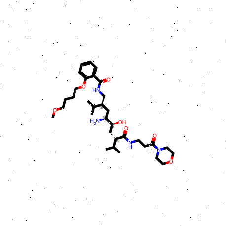 COCCCCOc1ccccc1C(=O)NC[C@@H](C[C@H](N)[C@@H](O)C[C@H](C(=O)NCCC(=O)N1CCOCC1)C(C)C)C(C)C